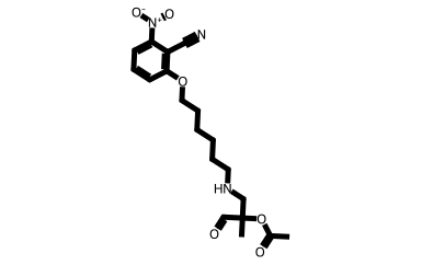 CC(=O)OC(C)(C=O)CNCCCCCCOc1cccc([N+](=O)[O-])c1C#N